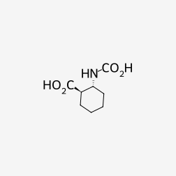 O=C(O)N[C@@H]1CCCC[C@H]1C(=O)O